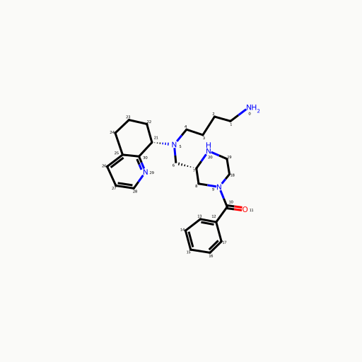 NCCCCN(C[C@H]1CN(C(=O)c2ccccc2)CCN1)[C@H]1CCCc2cccnc21